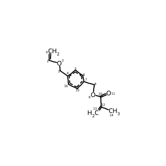 C=COCc1ccc(COC(=O)C(=C)C)cc1